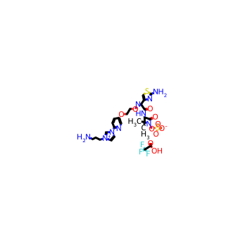 CC1(C)C(NC(=O)C(=NOCCOc2ccc(-n3cc[n+](CCCN)c3)nc2)c2csc(N)n2)C(=O)N1OS(=O)(=O)[O-].O=C(O)C(F)(F)F